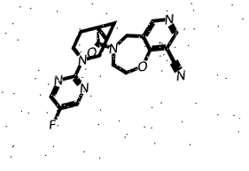 N#Cc1cncc2c1OCCN(C(=O)[C@]13CCN(c4ncc(F)cn4)CC1C3)C2